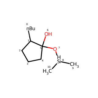 CCCCC1CCCC1(O)O[SiH](C)C